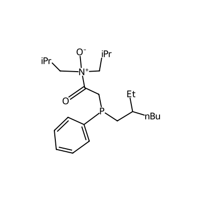 CCCCC(CC)CP(CC(=O)[N+]([O-])(CC(C)C)CC(C)C)c1ccccc1